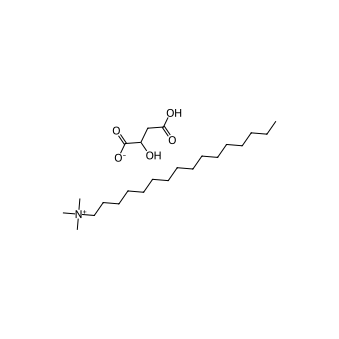 CCCCCCCCCCCCCCCC[N+](C)(C)C.O=C(O)CC(O)C(=O)[O-]